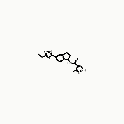 CCc1nc(-c2ccc3c(c2)CCC3NC(=O)c2c[nH]nc2C)no1